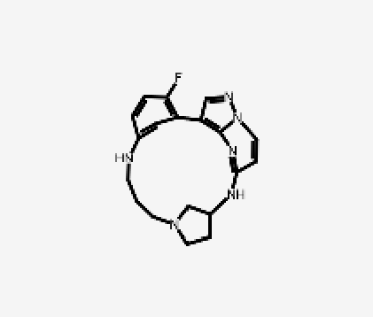 Fc1ccc2cc1-c1cnn3ccc(nc13)NC1CCN(CCCN2)C1